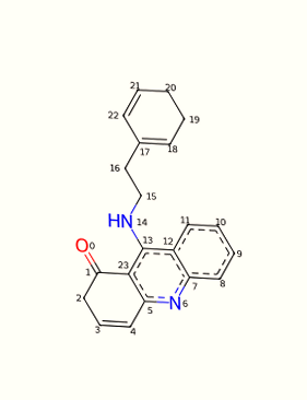 O=C1CC=Cc2nc3ccccc3c(NCCC3=CCCC=C3)c21